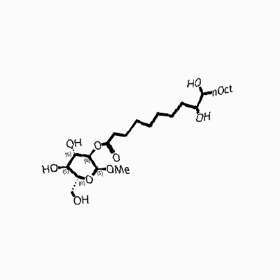 CCCCCCCCC(O)C(O)CCCCCCCC(=O)O[C@H]1[C@@H](OC)O[C@H](CO)[C@@H](O)[C@@H]1O